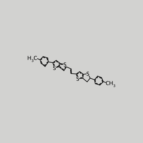 Cc1ccc(-c2cc3sc(/C=C/c4cc5c(s4)CC(c4ccc(C)cc4)S5)cc3s2)cc1